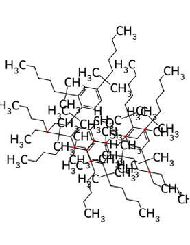 CCCCCC(C)(C)c1cc([SiH](O[SiH](c2cc(C(C)(C)CCCCC)cc(C(C)(C)CCCCC)c2C(C)(C)CCCCC)c2cc(C(C)(C)CCCCC)cc(C(C)(C)CCCCC)c2C(C)(C)CCCCC)c2cc(C(C)(C)CCCCC)cc(C(C)(C)CCCCC)c2C(C)(C)CCCCC)c(C(C)(C)CCCCC)c(C(C)(C)CCCCC)c1